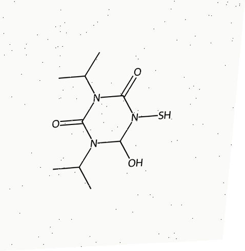 CC(C)N1C(=O)N(S)C(O)N(C(C)C)C1=O